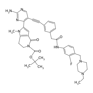 CCN1CCN(Cc2ccc(NC(=O)Cc3cccc(C#Cc4cnc(N)nc4-c4cc5c(n4C)CCN(C(=O)OC(C)(C)C)C5=O)c3)cc2F)CC1